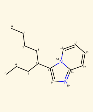 CCCCC(CCC)c1cnc2ccccn12